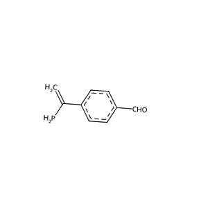 C=C(P)c1ccc(C=O)cc1